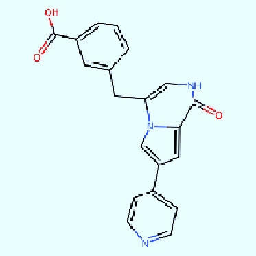 O=C(O)c1cccc(Cc2c[nH]c(=O)c3cc(-c4ccncc4)cn23)c1